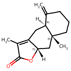 C=C1CCC[C@]2(C)C[C@@H]3OC(=O)C(C)=C3C[C@@H]12